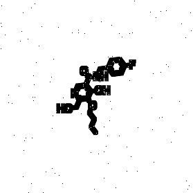 CCCCOc1c(CO)ncc(C(=O)NCc2ccc(F)cc2)c1O